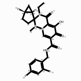 CCN1C(=O)c2c(O)c(=O)c(C(=O)NCc3ccc(F)cc3F)cn2N(C)C12CC[C@@H]1C[C@@H]12